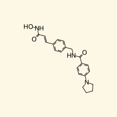 O=C(C=Cc1ccc(CNC(=O)c2ccc(N3CCCC3)cc2)cc1)NO